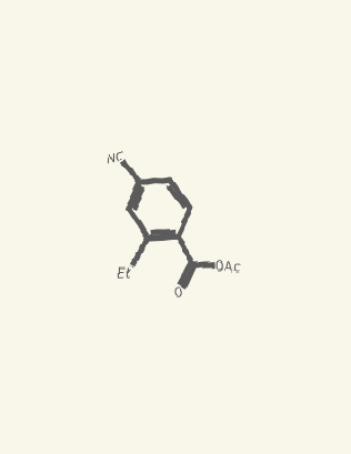 CCc1cc(C#N)ccc1C(=O)OC(C)=O